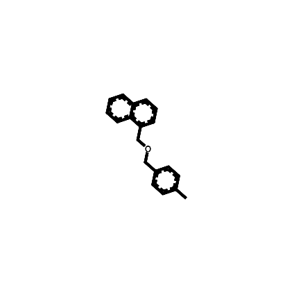 Cc1ccc(COCc2cccc3ccccc23)cc1